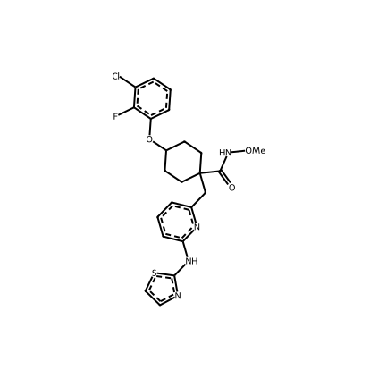 CONC(=O)C1(Cc2cccc(Nc3nccs3)n2)CCC(Oc2cccc(Cl)c2F)CC1